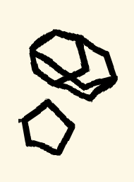 C1C2CC3CC1CC(C2)C3.[CH]1CCCC1